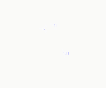 CCNc1ccc2c(c1)ncn2C